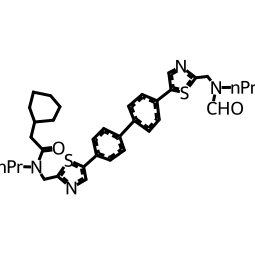 CCCN(C=O)Cc1ncc(-c2ccc(-c3ccc(-c4cnc(CN(CCC)C(=O)CC5CCCCC5)s4)cc3)cc2)s1